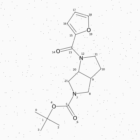 CC(C)(C)OC(=O)N1CC2CCN(C(=O)c3ccco3)C2C1